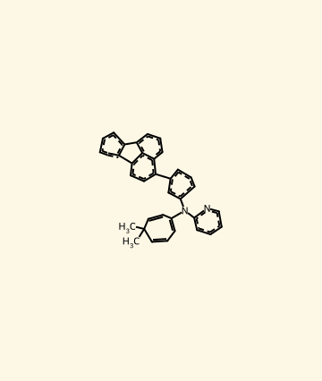 CC1(C)C=CC=C(N(c2cccc(-c3ccc4c5c(cccc35)-c3ccccc3-4)c2)c2ccccn2)C=C1